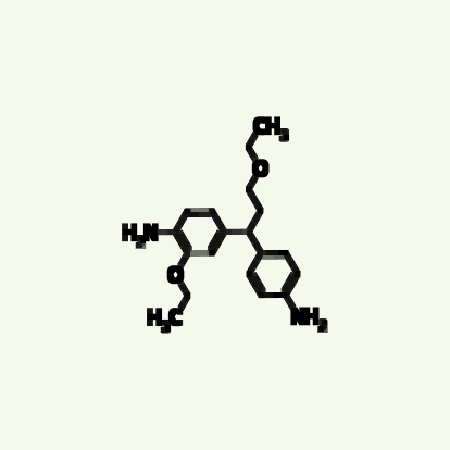 CCOCCC(c1ccc(N)cc1)c1ccc(N)c(OCC)c1